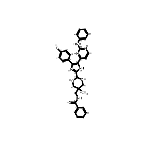 CC1(CNC(=O)c2ccccc2)COC(c2nc(-c3ccc(F)cc3)c(-c3ccnc(Nc4ccccc4)n3)[nH]2)OC1